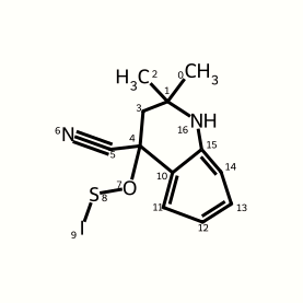 CC1(C)CC(C#N)(OSI)c2ccccc2N1